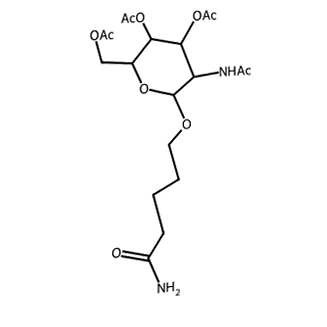 CC(=O)NC1C(OCCCCC(N)=O)OC(COC(C)=O)C(OC(C)=O)C1OC(C)=O